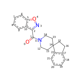 O=C(c1noc2ccccc12)N1CCC2(CCc3ccccc32)CC1